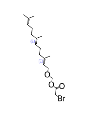 CC(C)=CCC/C(C)=C/CC/C(C)=C/COCOC(=O)CBr